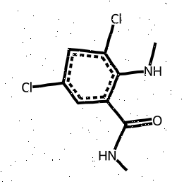 CNC(=O)c1cc(Cl)cc(Cl)c1NC